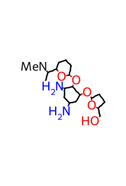 CNC(C)C1CCC[C@@H](O[C@@H]2C(N)CC(N)CC2OC2CCC(CO)O2)O1